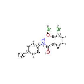 O=C(Nc1ccc(C(F)(F)F)cc1)c1cccc(Br)c1OBr